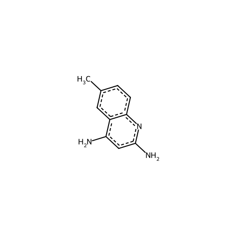 Cc1ccc2nc(N)cc(N)c2c1